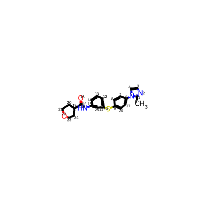 Cc1nccn1-c1ccc(Sc2cccc(NC(=O)C3CCOCC3)c2)cc1